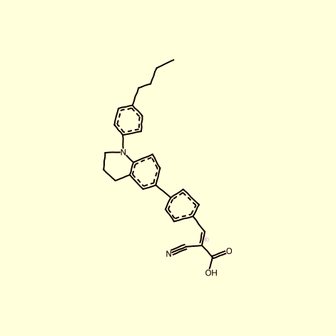 CCCCc1ccc(N2CCCc3cc(-c4ccc(/C=C(\C#N)C(=O)O)cc4)ccc32)cc1